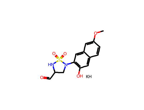 COc1ccc2cc(O)c(N3CC(C=O)NS3(=O)=O)cc2c1.[KH]